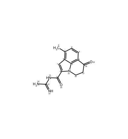 Cc1ccc2c3c1cc(C(=O)NC(=N)N)n3CCC2=O